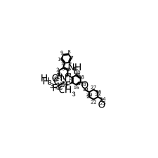 C[C@@H]1Cc2c([nH]c3ccccc23)[C@@H](c2c(F)cc(OCC3CCC(C=O)CC3)cc2F)N1CC(C)(C)F